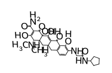 CN(C)[C@@H]1C(O)=C(C(N)=O)C(=O)[C@]2(O)C(O)=C3C(=O)c4c(ccc(NCC(=O)NC5CCCC5)c4O)C[C@@H]3C[C@H]12